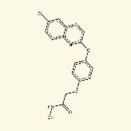 O=C(COc1ccc(Oc2cnc3cc(Cl)ccc3n2)cc1)NO